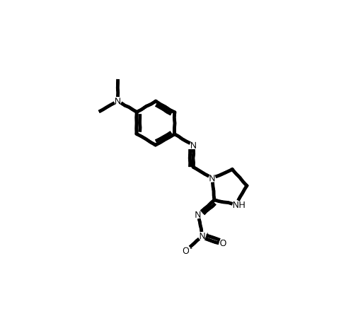 CN(C)c1ccc(N=CN2CCNC2=N[N+](=O)[O-])cc1